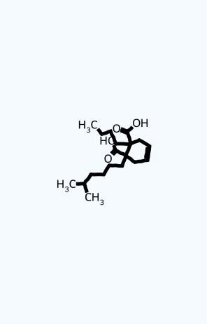 CCCCC1(C(=O)O)CC=CCC1(CCCCC(C)C)C(=O)O